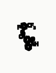 O=C(COc1cc(C(F)(F)F)ccc1F)N1CCC2(CC1)C(=O)Nc1ccccc12